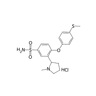 CSc1ccc(Oc2ccc(S(N)(=O)=O)cc2C2CCCN2C)cc1.Cl